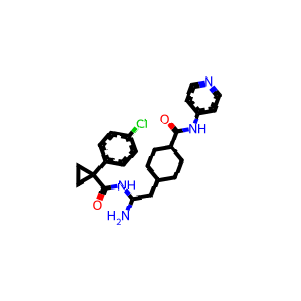 NC(CC1CCC(C(=O)Nc2ccncc2)CC1)NC(=O)C1(c2ccc(Cl)cc2)CC1